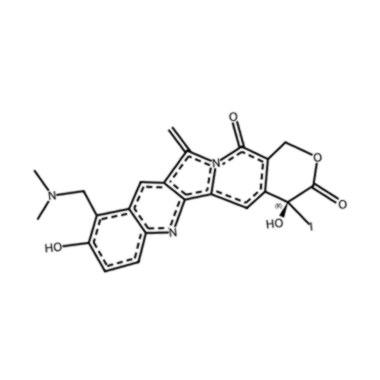 C=c1c2cc3c(CN(C)C)c(O)ccc3nc2c2cc3c(c(=O)n12)COC(=O)[C@]3(O)I